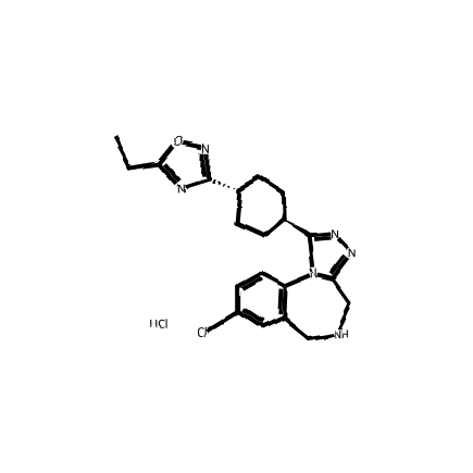 CCc1nc([C@H]2CC[C@H](c3nnc4n3-c3ccc(Cl)cc3CNC4)CC2)no1.Cl